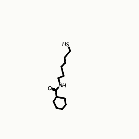 O=C(NCCCCCCS)C1CCCCC1